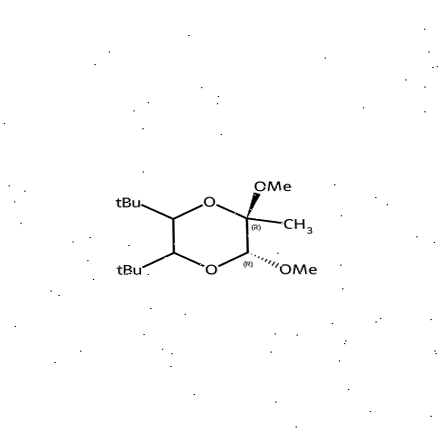 CO[C@@H]1OC(C(C)(C)C)C(C(C)(C)C)O[C@@]1(C)OC